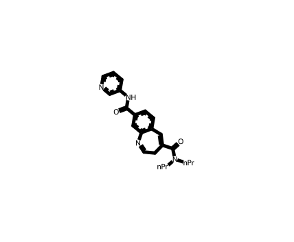 CCCN(CCC)C(=O)C1=Cc2ccc(C(=O)Nc3cccnc3)cc2N=CC1